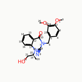 COc1ccc(CN(C#N)C(=O)c2ccccc2N[C@@H](C)CO)cc1OC